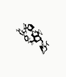 CC(C)[C@H]1CN(C)CCN1Cc1cc2c(c(C(F)(F)F)c1)CN(c1cccc(C3([C@@H](F)c4nncn4-c4ccccc4)COC3)c1)C2=O